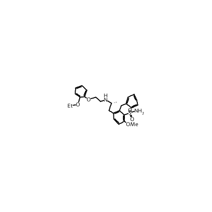 CCOc1ccccc1OCCN[C@H](C)Cc1ccc(OC)c(S(N)(=O)=O)c1Cc1ccccc1